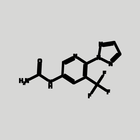 NC(=O)Nc1cnc(-n2nccn2)c(C(F)(F)F)c1